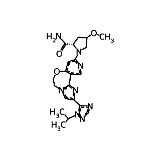 CO[C@@H]1C[C@@H](C(N)=O)N(c2cc3c(cn2)-c2nc(-c4ncnn4C(C)C)cn2CCO3)C1